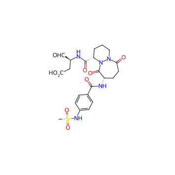 CS(=O)(=O)Nc1ccc(C(=O)N[C@H]2CCC(=O)N3CCC[C@@H](C(=O)N[C@H](C=O)CC(=O)O)N3C2=O)cc1